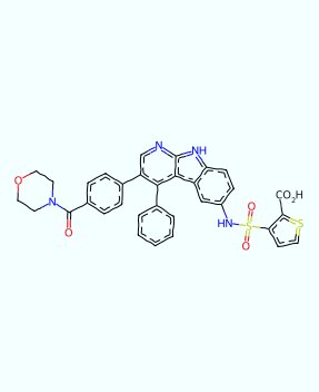 O=C(O)c1sccc1S(=O)(=O)Nc1ccc2[nH]c3ncc(-c4ccc(C(=O)N5CCOCC5)cc4)c(-c4ccccc4)c3c2c1